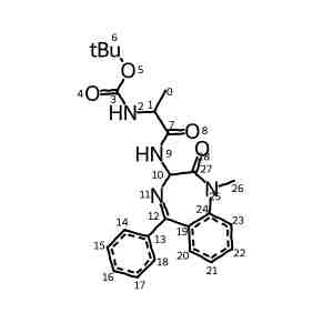 CC(NC(=O)OC(C)(C)C)C(=O)NC1N=C(c2ccccc2)c2ccccc2N(C)C1=O